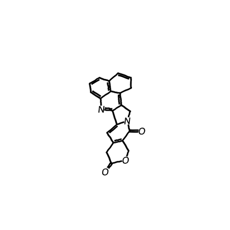 O=C1Cc2cc3n(c(=O)c2CO1)Cc1c-3nc2cccc3c2c1CC=C3